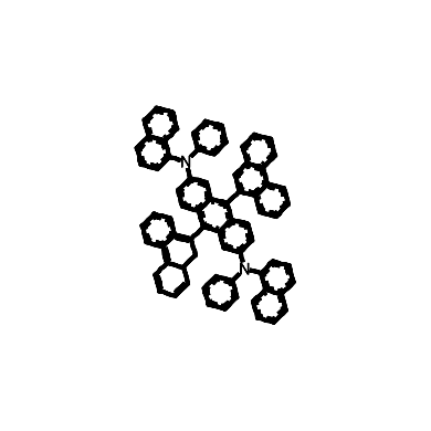 C1=CC2=c3ccccc3=C(c3c4cc(N(c5ccccc5)c5cccc6ccccc56)ccc4c(-c4cc5ccccc5c5ccccc45)c4cc(N(c5ccccc5)c5cccc6ccccc56)ccc34)CC2C=C1